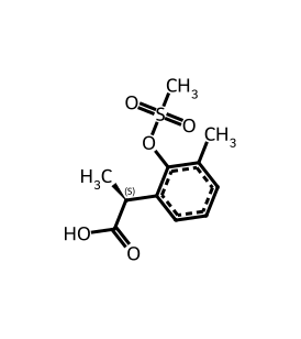 Cc1cccc([C@H](C)C(=O)O)c1OS(C)(=O)=O